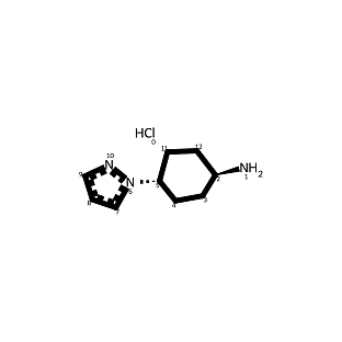 Cl.N[C@H]1CC[C@H](n2cccn2)CC1